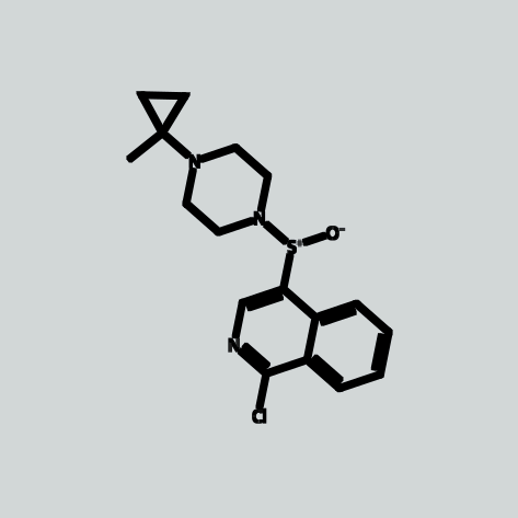 CC1(N2CCN([S+]([O-])c3cnc(Cl)c4ccccc34)CC2)CC1